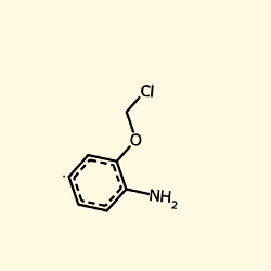 Nc1cc[c]cc1OCCl